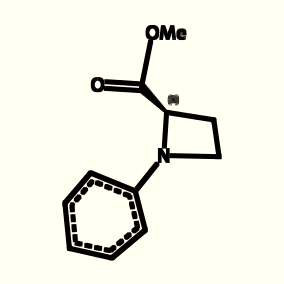 COC(=O)[C@H]1CCN1c1ccccc1